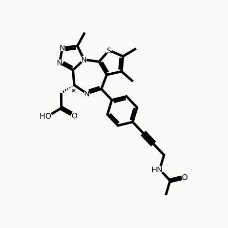 CC(=O)NCC#Cc1ccc(C2=N[C@H](CC(=O)O)c3nnc(C)n3-c3sc(C)c(C)c32)cc1